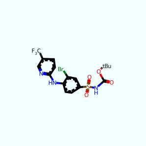 CC(C)(C)OC(=O)NS(=O)(=O)c1ccc(Nc2ccc(C(F)(F)F)cn2)c(Br)c1